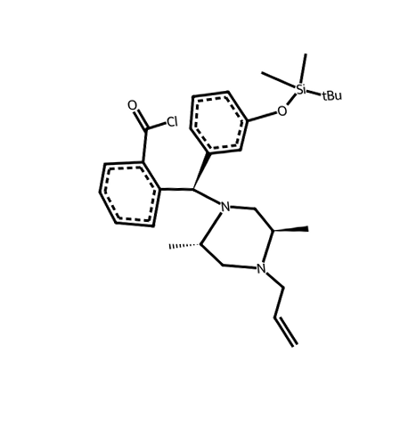 C=CCN1C[C@H](C)N([C@H](c2cccc(O[Si](C)(C)C(C)(C)C)c2)c2ccccc2C(=O)Cl)C[C@H]1C